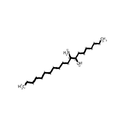 CCCCCCCCCCCC(N)C(O)CCCCCCC